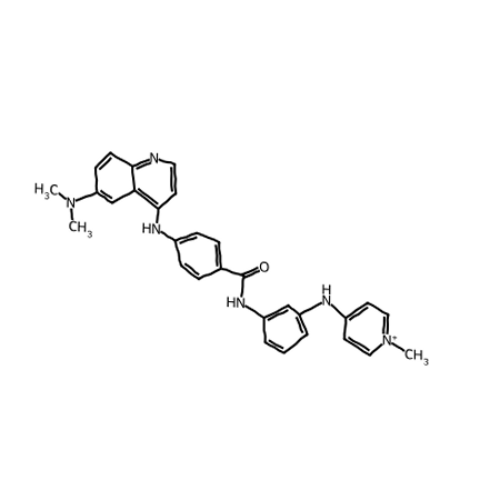 CN(C)c1ccc2nccc(Nc3ccc(C(=O)Nc4cccc(Nc5cc[n+](C)cc5)c4)cc3)c2c1